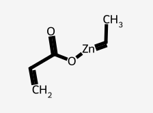 C=CC(=O)[O][Zn]=[CH]C